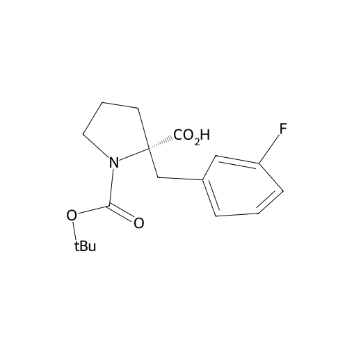 CC(C)(C)OC(=O)N1CCC[C@]1(Cc1cccc(F)c1)C(=O)O